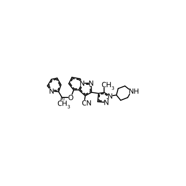 Cc1c(-c2nn3cccc(O[C@H](C)c4ccccn4)c3c2C#N)cnn1C1CCNCC1